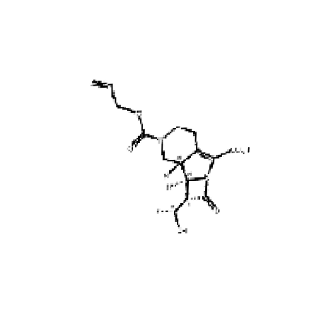 C=CCOC(=O)N1CCC2=C(C(=O)O)N3C(=O)[C@H]([C@@H](C)O)[C@H]3[C@@H]2C1